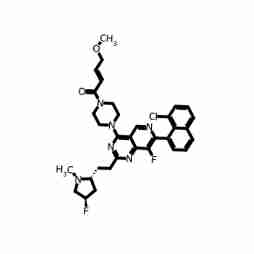 COC/C=C/C(=O)N1CCN(c2nc(CC[C@@H]3C[C@@H](F)CN3C)nc3c(F)c(-c4cccc5cccc(Cl)c45)ncc23)CC1